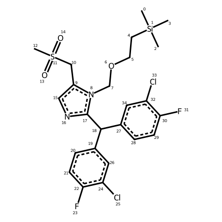 C[Si](C)(C)CCOCn1c(CS(C)(=O)=O)cnc1C(c1ccc(F)c(Cl)c1)c1ccc(F)c(Cl)c1